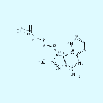 CCCCc1nc2c(N)nc3cccnc3c2n1CCCCNC=O